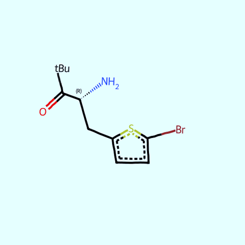 CC(C)(C)C(=O)[C@H](N)Cc1ccc(Br)s1